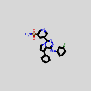 NS(=O)(=O)c1cncc(-c2nnc(Nc3cccc(F)c3)c3c(-c4ccccc4)ccn23)c1